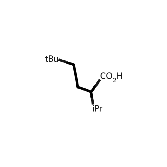 CC(C)C(CCC(C)(C)C)C(=O)O